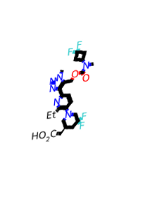 CCc1nc(-c2nnn(C)c2COC(=O)N(C)C2CC(F)(F)C2)ccc1N1C[C@H](CC(=O)O)CC(F)(F)C1